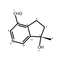 C[C@]1(O)CCc2c(C=O)cncc21